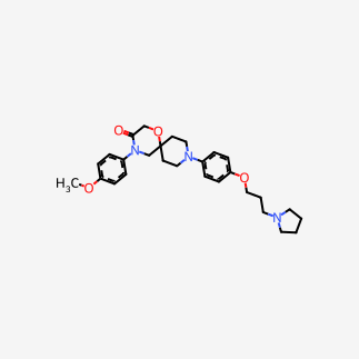 COc1ccc(N2CC3(CCN(c4ccc(OCCCN5CCCC5)cc4)CC3)OCC2=O)cc1